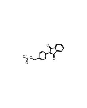 O=C1c2ccccc2C(=O)N1c1ccc(CO[N+](=O)[O-])cc1